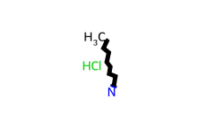 CCCCCCCCC#N.Cl